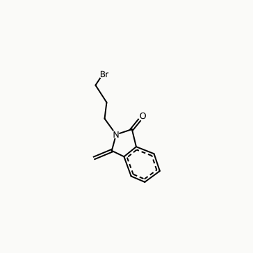 C=C1c2ccccc2C(=O)N1CCCBr